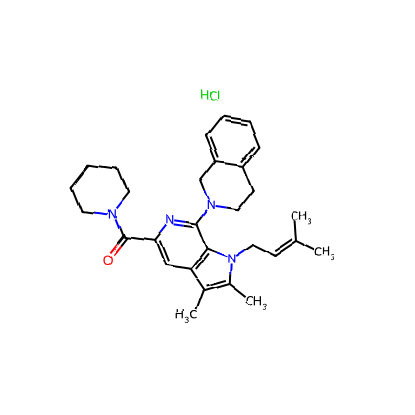 CC(C)=CCn1c(C)c(C)c2cc(C(=O)N3CCCCC3)nc(N3CCc4ccccc4C3)c21.Cl